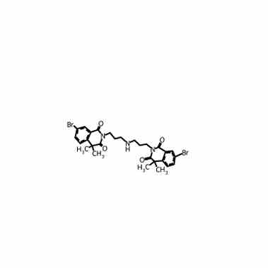 CC1(C)C(=O)N(CCCNCCCN2C(=O)c3cc(Br)ccc3C(C)(C)C2=O)C(=O)c2cc(Br)ccc21